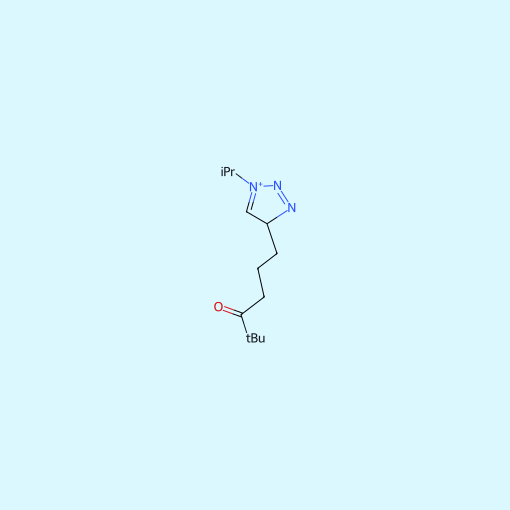 CC(C)[N+]1=CC(CCCC(=O)C(C)(C)C)N=N1